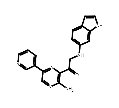 Nc1ncc(-c2cccnc2)nc1C(=O)CNc1ccc2cc[nH]c2c1